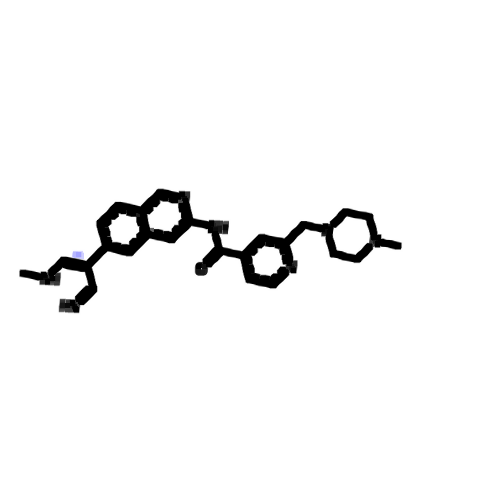 CN/C=C(\C=N)c1ccc2cnc(NC(=O)c3ccnc(CN4CCN(C)CC4)c3)cc2c1